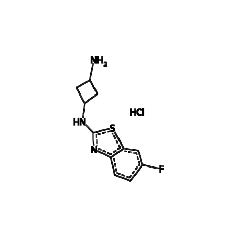 Cl.NC1CC(Nc2nc3ccc(F)cc3s2)C1